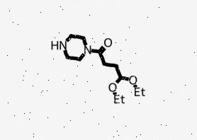 CCOC(CCC(=O)N1CCNCC1)OCC